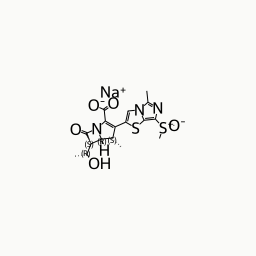 Cc1nc([S+](C)[O-])c2sc(C3=C(C(=O)[O-])N4C(=O)[C@H]([C@@H](C)O)[C@H]4[C@H]3C)cn12.[Na+]